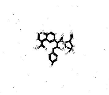 CC(Cc1ccc(Cl)cc1)C(C(=O)N1CC(F)(F)CC1C#N)c1ccc2nccc(C(N)=O)c2c1